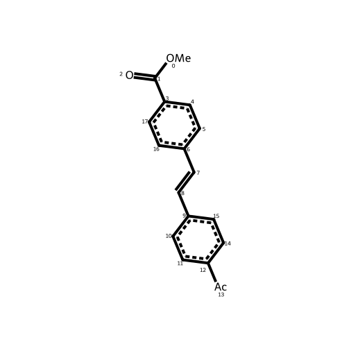 COC(=O)c1ccc(C=Cc2ccc(C(C)=O)cc2)cc1